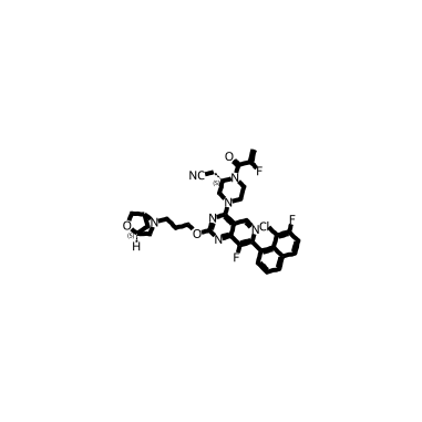 C=C(F)C(=O)N1CCN(c2nc(OCCCN3C[C@@H]4CC3CO4)nc3c(F)c(-c4cccc5ccc(F)c(Cl)c45)ncc23)C[C@@H]1CC#N